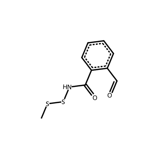 CSSNC(=O)c1ccccc1C=O